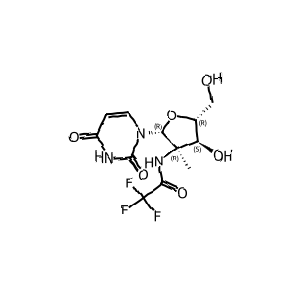 C[C@@]1(NC(=O)C(F)(F)F)[C@H](O)[C@@H](CO)O[C@H]1n1ccc(=O)[nH]c1=O